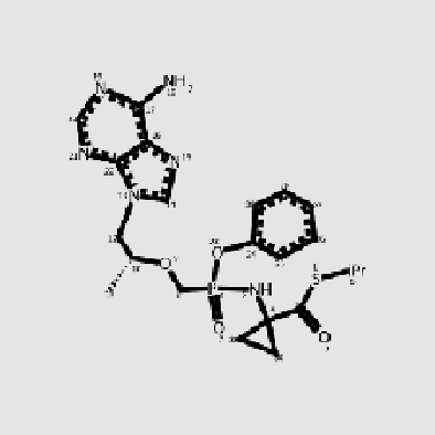 CC(C)SC(=O)C1(NP(=O)(CO[C@H](C)Cn2cnc3c(N)ncnc32)Oc2ccccc2)CC1